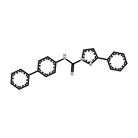 O=C(Nc1ccc(-c2ccccc2)cc1)n1ccc(-c2ccccc2)n1